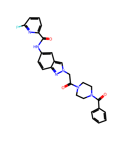 O=C(Nc1ccc2nn(CC(=O)N3CCN(C(=O)c4ccccc4)CC3)cc2c1)c1cccc(F)n1